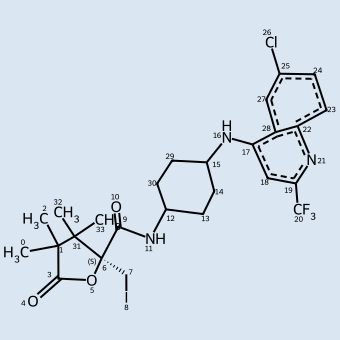 CC1(C)C(=O)O[C@](CI)(C(=O)NC2CCC(Nc3cc(C(F)(F)F)nc4ccc(Cl)cc34)CC2)C1(C)C